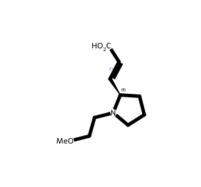 COCCN1CCC[C@@H]1/C=C/C(=O)O